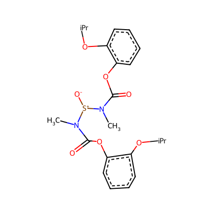 CC(C)Oc1ccccc1OC(=O)N(C)[S+]([O-])N(C)C(=O)Oc1ccccc1OC(C)C